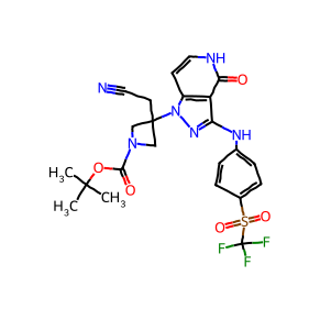 CC(C)(C)OC(=O)N1CC(CC#N)(n2nc(Nc3ccc(S(=O)(=O)C(F)(F)F)cc3)c3c(=O)[nH]ccc32)C1